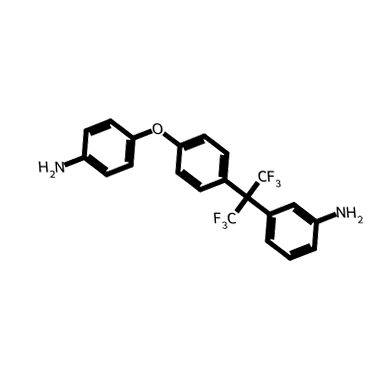 Nc1ccc(Oc2ccc(C(c3cccc(N)c3)(C(F)(F)F)C(F)(F)F)cc2)cc1